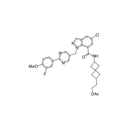 COc1ccc(-c2ncc(Cn3ncc4cc(Cl)cc(C(=O)NC5CC6(CC(CCOC(C)=O)C6)C5)c43)cn2)cc1F